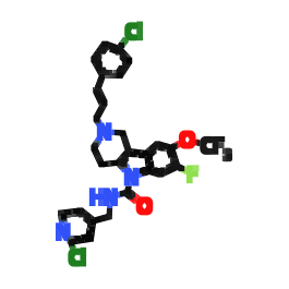 O=C(NCc1ccnc(Cl)c1)n1c2c(c3cc(OC(F)(F)F)c(F)cc31)CN(CC=Cc1ccc(Cl)cc1)CC2